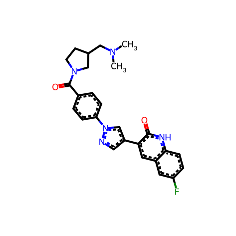 CN(C)CC1CCN(C(=O)c2ccc(-n3cc(-c4cc5cc(F)ccc5[nH]c4=O)cn3)cc2)C1